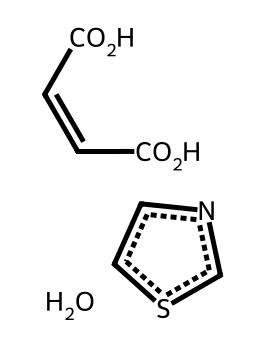 O.O=C(O)/C=C\C(=O)O.c1cscn1